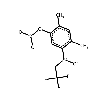 Cc1cc(C)c([S+]([O-])CC(F)(F)F)cc1OB(O)O